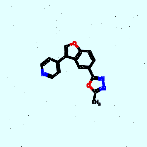 Cc1nnc(-c2ccc3occ(-c4ccncc4)c3c2)o1